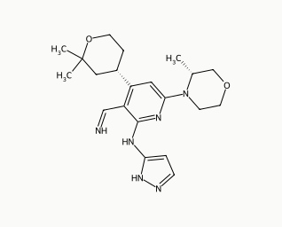 C[C@@H]1COCCN1c1cc([C@H]2CCOC(C)(C)C2)c(C=N)c(Nc2ccn[nH]2)n1